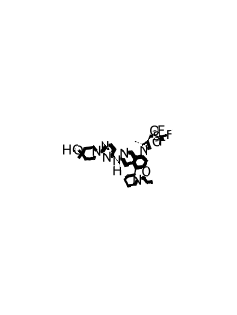 C=CC(=O)N1CCCC[C@H]1c1ccc(N2C[C@H](CS(=O)(=O)C(F)(F)F)[C@H]2C)c2cnc(Nc3ccnc(N4CCC(C)(O)CC4)n3)cc12